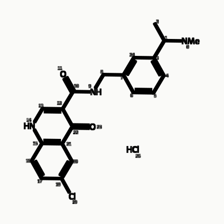 CNC(C)c1cccc(CNC(=O)c2c[nH]c3ccc(Cl)cc3c2=O)c1.Cl